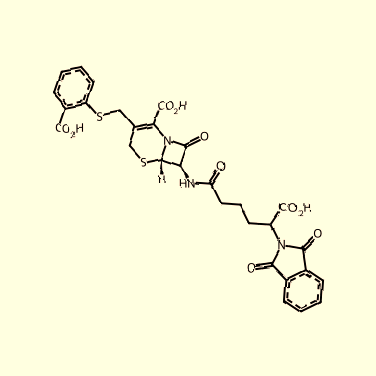 O=C(CCCC(C(=O)O)N1C(=O)c2ccccc2C1=O)N[C@@H]1C(=O)N2C(C(=O)O)=C(CSc3ccccc3C(=O)O)CS[C@@H]12